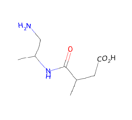 CC(CN)NC(=O)C(C)CC(=O)O